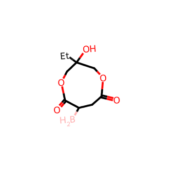 BC1CC(=O)OCC(O)(CC)COC1=O